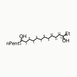 CCCCCC(O)CCCCCCCCCCC(O)CC